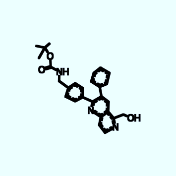 CC(C)(C)OC(=O)NCc1ccc(-c2nc3ccnc(CO)c3cc2-c2ccccc2)cc1